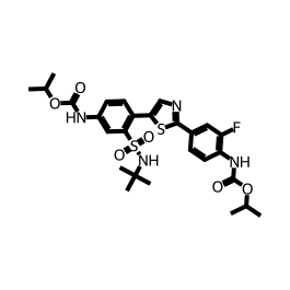 CC(C)OC(=O)Nc1ccc(-c2cnc(-c3ccc(NC(=O)OC(C)C)c(F)c3)s2)c(S(=O)(=O)NC(C)(C)C)c1